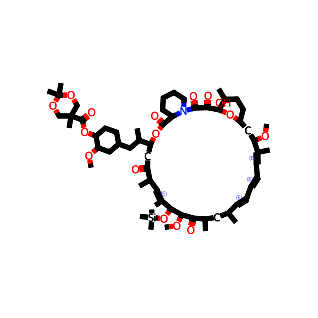 COC1CC2CCC(C)C(O)(O2)C(=O)C(=O)N2CCCCC2C(=O)OC(C(C)CC2CCC(OC(=O)C3(C)COC(C)(C)OC3)C(OC)C2)CC(=O)C(C)/C=C(\C)C(O[Si](C)(C)C)C(OC)C(=O)C(C)CC(C)/C=C/C=C/C=C/1C